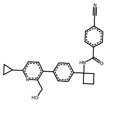 N#Cc1ccc(C(=O)NC2(c3ccc(-c4ccc(C5CC5)nc4CO)cc3)CCC2)cc1